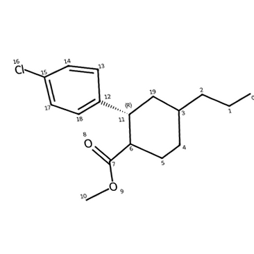 CCCC1CCC(C(=O)OC)[C@H](c2ccc(Cl)cc2)C1